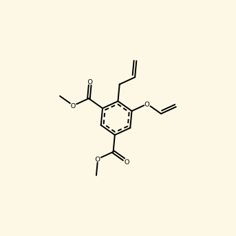 C=CCc1c(OC=C)cc(C(=O)OC)cc1C(=O)OC